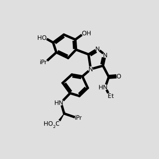 CCNC(=O)c1nnc(-c2cc(C(C)C)c(O)cc2O)n1-c1ccc(N[C@H](C(=O)O)C(C)C)cc1